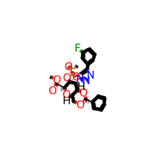 COC(=O)[C@@H]1O[C@@H]2CO[C@H](c3ccccc3)O[C@@H]2[C@H](n2cc(-c3cccc(F)c3)nn2)[C@H]1OS(C)(=O)=O